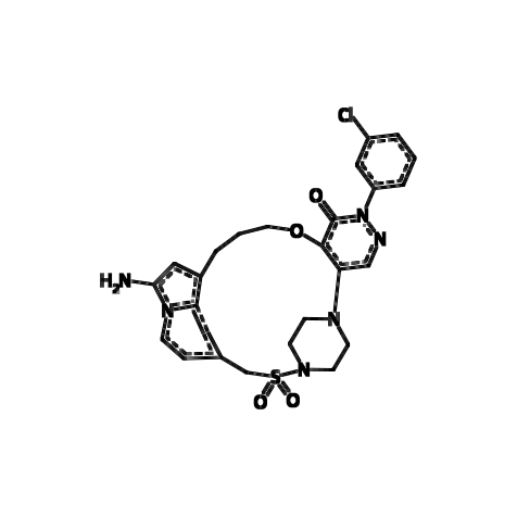 Nc1cc2c3cc(ccn13)CS(=O)(=O)N1CCN(CC1)c1cnn(-c3cccc(Cl)c3)c(=O)c1OCCC2